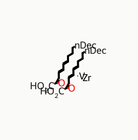 CCCCCCCCCCCCCC=CC=CC1=C(C(=O)O)O1.CCCCCCCCCCCCCC=CC=CC1=C(C(=O)O)O1.[V].[Zr]